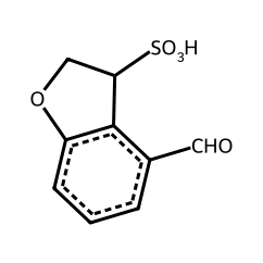 O=Cc1cccc2c1C(S(=O)(=O)O)CO2